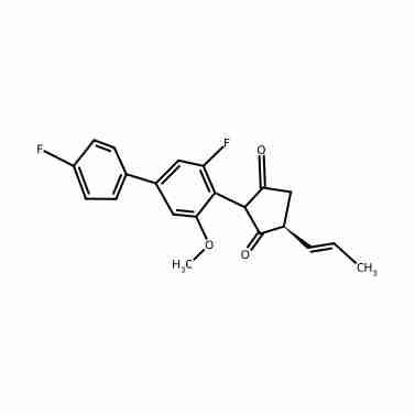 C/C=C/[C@@H]1CC(=O)C(c2c(F)cc(-c3ccc(F)cc3)cc2OC)C1=O